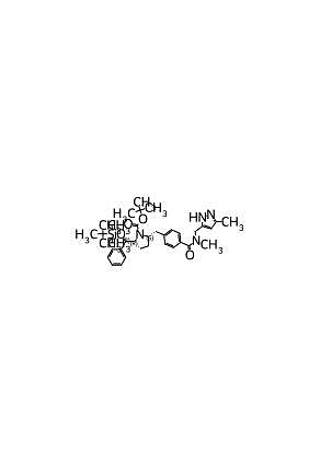 Cc1cc(CN(C)C(=O)c2ccc(C[C@@H]3CC[C@H]([C@H](O[Si](C)(C)C(C)(C)C)c4ccccc4)N3C(=O)OC(C)(C)C)cc2)[nH]n1